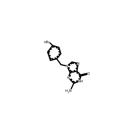 CCCCc1ccc(Cn2cnc3c(=O)[nH]c(N)nc32)cc1